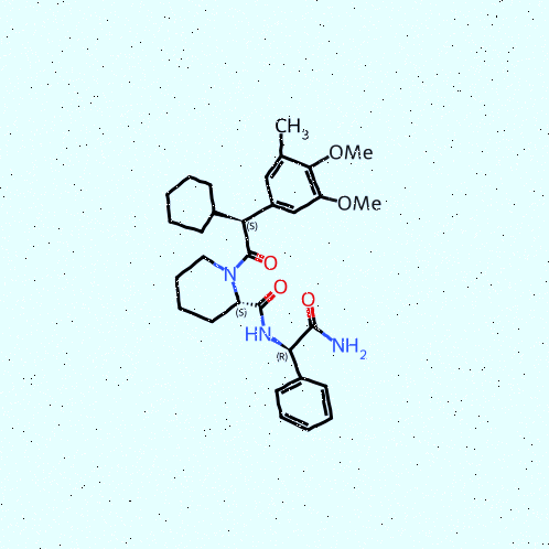 COc1cc([C@@H](C(=O)N2CCCC[C@H]2C(=O)N[C@@H](C(N)=O)c2ccccc2)C2CCCCC2)cc(C)c1OC